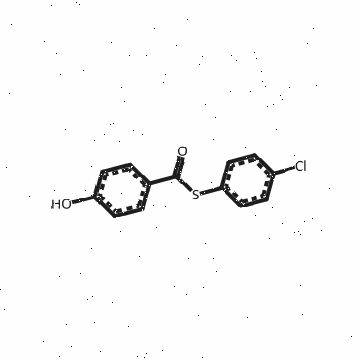 O=C(Sc1ccc(Cl)cc1)c1ccc(O)cc1